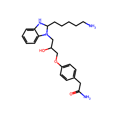 NCCCCCC1Nc2ccccc2N1CC(O)COc1ccc(CC(N)=O)cc1